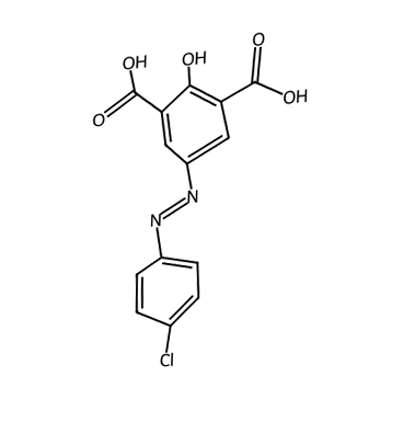 O=C(O)c1cc(/N=N/c2ccc(Cl)cc2)cc(C(=O)O)c1O